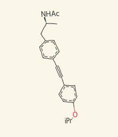 CC(=O)N[C@@H](C)Cc1ccc(C#Cc2ccc(OC(C)C)cc2)cc1